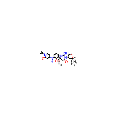 CC1(C)C[C@H](N2C(=N)N[C@](C)(c3cccc(Nc4ccn(C5CC5)c(=O)c4)c3O)CC2=O)CCO1